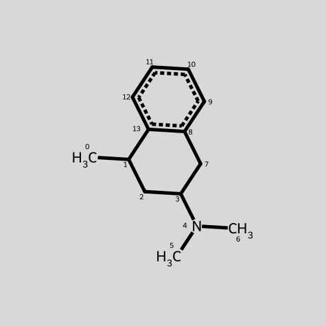 CC1CC(N(C)C)Cc2ccccc21